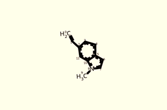 C=Cc1ccc2ccn(C)c2c1